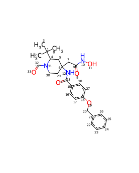 CC(C)(C)C1CC(CC(=O)NO)(NC(=O)c2ccc(OCc3ccccc3)cc2)CCN1[C]=O